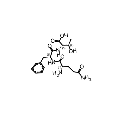 C[C@@H](O)[C@H](NC(=O)[C@H](Cc1ccccc1)NC(=O)[C@@H](N)CCC(N)=O)C(=O)O